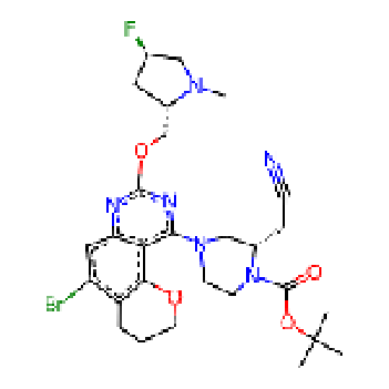 CN1C[C@H](F)C[C@H]1COc1nc(N2CCN(C(=O)OC(C)(C)C)[C@@H](CC#N)C2)c2c3c(c(Br)cc2n1)CCCO3